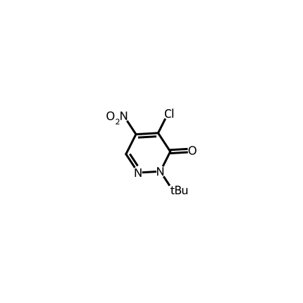 CC(C)(C)n1ncc([N+](=O)[O-])c(Cl)c1=O